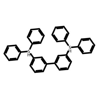 c1ccc([SH](c2ccccc2)c2cccc(-c3cccc([SH](c4ccccc4)c4ccccc4)c3)c2)cc1